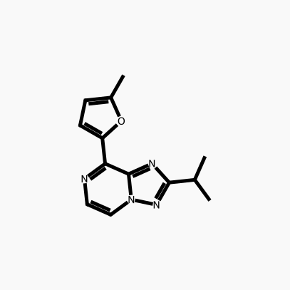 Cc1ccc(-c2nccn3nc(C(C)C)nc23)o1